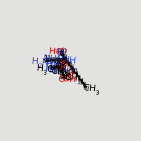 CCCCCCCCCCCCCCCC(=O)N[C@@H](CCC(=O)O)C(=O)N[C@@H](CCCNC(=N)N)C(=O)N[C@H](C(=O)N[C@@H](CCC(=O)O)C(=O)NCC(C)=O)[C@@H](C)CC